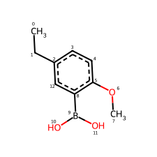 CCc1ccc(OC)c(B(O)O)c1